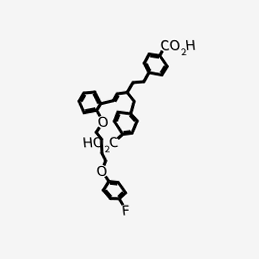 O=C(O)c1ccc(CCC(C=Cc2ccccc2OCCCCOc2ccc(F)cc2)Cc2ccc(C(=O)O)cc2)cc1